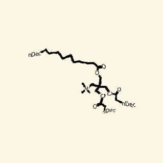 CCCCCCCCCCCCCCCCCCCC(=O)OCC(COC(=O)CCCCCCCCCCC)(COC(=O)CCCCCCCCCCC)C[N+](C)(C)C